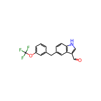 O=Cc1c[nH]c2ccc(Cc3cccc(OC(F)(F)F)c3)cc12